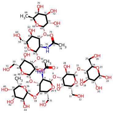 CC(=O)N[C@H]1[C@H](O[C@H]2[C@@H](O)[C@@H](CO)O[C@@H](O[C@H]3[C@H](O)[C@@H](O)[C@H](O)O[C@@H]3CO)[C@@H]2O)O[C@H](CO)[C@@H](O[C@@H]2O[C@@H](C)[C@@H](O)[C@@H](O)[C@@H]2O)[C@@H]1O[C@@H]1O[C@H](CO)[C@H](O)[C@H](O[C@@H]2O[C@H](CO)[C@@H](O)[C@H](O[C@@H]3O[C@@H](C)[C@@H](O)[C@@H](O)[C@@H]3O)[C@H]2NC(C)=O)[C@H]1O